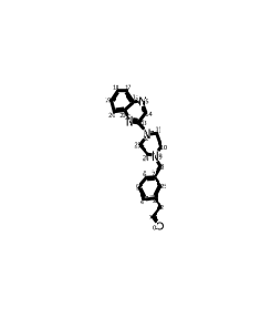 O=CCc1cccc(CN2CCN(c3cnc4ccccc4n3)CC2)c1